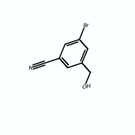 N#Cc1cc(Br)cc([CH]O)c1